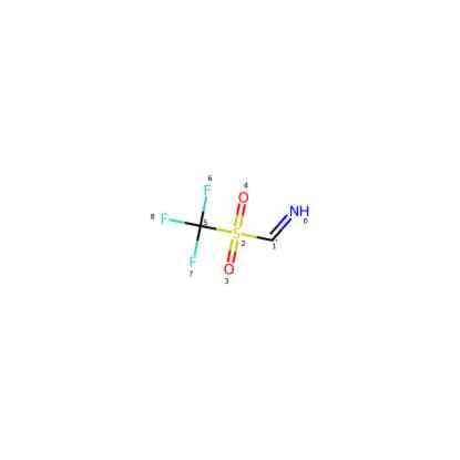 N=[C]S(=O)(=O)C(F)(F)F